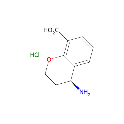 Cl.N[C@H]1CCOc2c(C(=O)O)cccc21